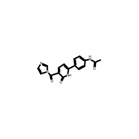 CC(=O)Nc1ccc(-c2ccc(C(=O)n3ccnc3)c(=O)[nH]2)cc1